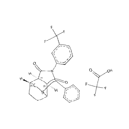 O=C(O)C(F)(F)F.O=C1[C@@H]2[C@H]3CCC([C@@H]2C(=O)N1c1cccc(C(F)(F)F)c1)N(Cc1ccccc1)C3